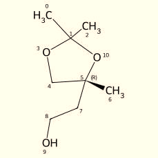 CC1(C)OC[C@@](C)(CCO)O1